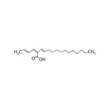 CC=CC=C(C=CCCCCCCCCCCC)C(=O)O